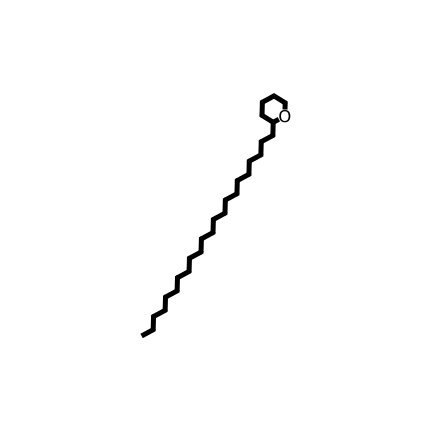 CCCCCCCCCCCCCCCCCCCCCCC1CCCCO1